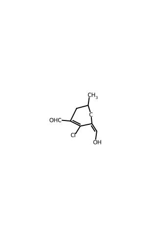 CC1CC(=CO)C(Cl)=C(C=O)C1